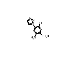 Nc1nc(-n2ccnn2)c(Cl)nc1C(=O)O